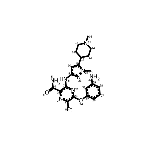 CCc1nc(C(N)=O)c(Nc2cc(C3CCN(C)CC3)n(C)n2)nc1Oc1cccc(N)c1